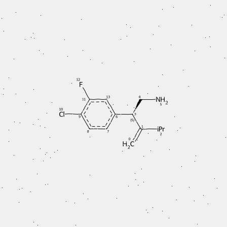 C=C(C(C)C)[C@H](CN)c1ccc(Cl)c(F)c1